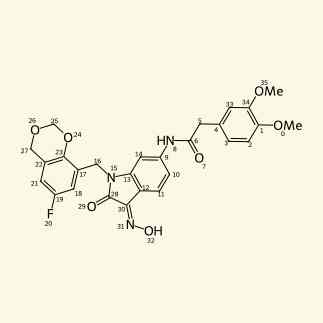 COc1ccc(CC(=O)Nc2ccc3c(c2)N(Cc2cc(F)cc4c2OCOC4)C(=O)/C3=N/O)cc1OC